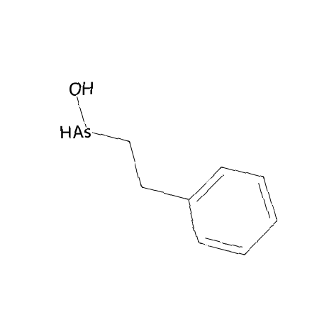 O[AsH]CCc1ccccc1